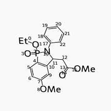 CCOP1(=O)c2ccc(OC)cc2C(CC(=O)OC)N1c1ccccc1